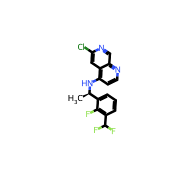 C[C@@H](Nc1ccnc2cnc(Cl)cc12)c1cccc(C(F)F)c1F